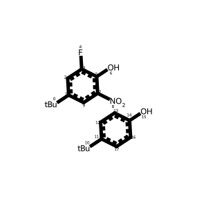 CC(C)(C)c1cc(F)c(O)c([N+](=O)[O-])c1.CC(C)(C)c1ccc(O)cc1